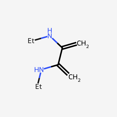 C=C(NCC)C(=C)NCC